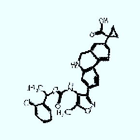 Cc1onc(-c2ccc3c(c2)NCc2cc(C4(C(=O)O)CC4)ccc2-3)c1NC(=O)OC(C)c1ccccc1Cl